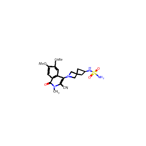 COc1cc2c(N3CC4(CC(NS(N)(=O)=O)C4)C3)c(C#N)n(C)c(=O)c2cc1OC